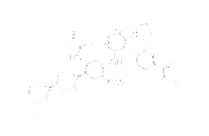 C=CC(=O)Nc1cc(Nc2cc(N3OCC[C@@H]3c3cccc(C(=O)OC(C)CC)c3)ncn2)c(OC)cc1N1CCC(N2CCO[C@@H](C)C2)CC1